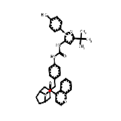 Cc1ccc(-n2nc(C(C)(C)C)cc2NC(=O)Nc2ccc(CC3CC4CCC(C3)N4C(=O)c3ccnc4ccccc34)cc2)cc1